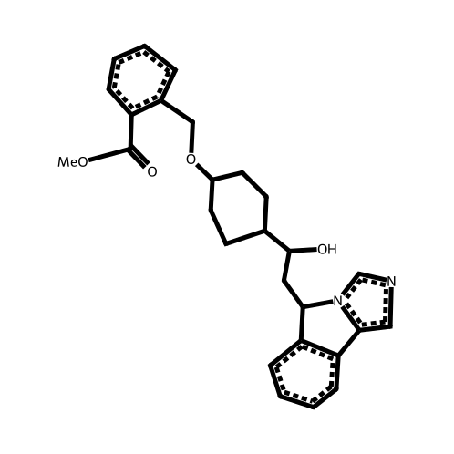 COC(=O)c1ccccc1COC1CCC(C(O)CC2c3ccccc3-c3cncn32)CC1